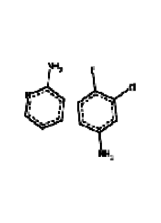 Nc1ccc(F)c(Cl)c1.Nc1ccccn1